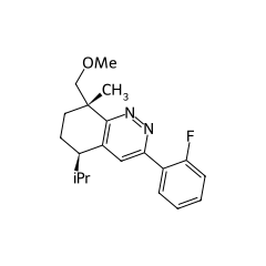 COC[C@@]1(C)CC[C@H](C(C)C)c2cc(-c3ccccc3F)nnc21